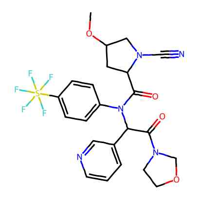 COC1CC(C(=O)N(c2ccc(S(F)(F)(F)(F)F)cc2)C(C(=O)N2CCOC2)c2cccnc2)N(C#N)C1